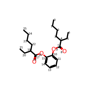 CCCCC(CC)C(=O)Oc1ccccc1OC(=O)C(CC)CCCC